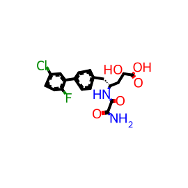 NC(=O)C(=O)N[C@H](Cc1ccc(-c2cc(Cl)ccc2F)cc1)C[C@@H](O)C(=O)O